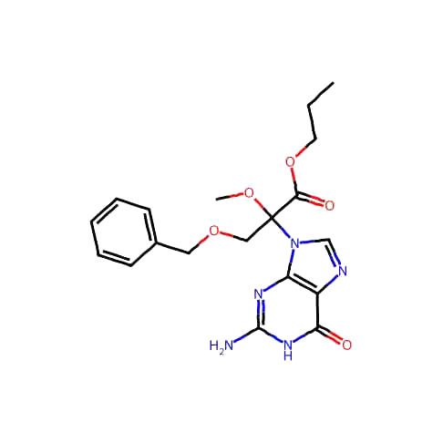 CCCOC(=O)C(COCc1ccccc1)(OC)n1cnc2c(=O)[nH]c(N)nc21